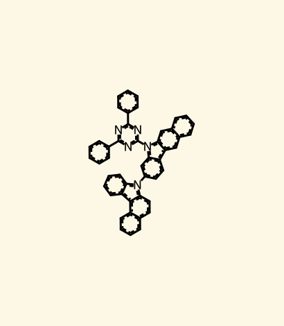 c1ccc(-c2nc(-c3ccccc3)nc(-n3c4cc(-n5c6ccccc6c6c7ccccc7ccc65)ccc4c4cc5ccccc5cc43)n2)cc1